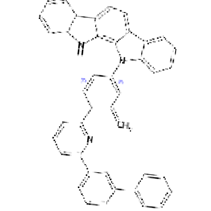 C=C/C=C(\C=C/Cc1cccc(-c2cccc(-c3ccccc3)c2)n1)n1c2ccccc2c2ccc3c(c21)NC1C=CC=CC31